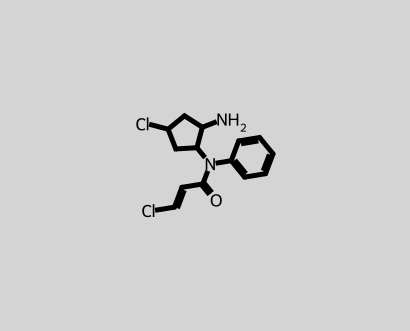 NC1CC(Cl)CC1N(C(=O)C=CCl)c1ccccc1